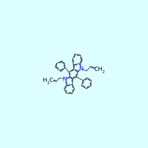 C=CCn1c2ccccc2c2c(-c3ccccc3)c3c(c(-c4ccccc4)c21)c1ccccc1n3CC=C